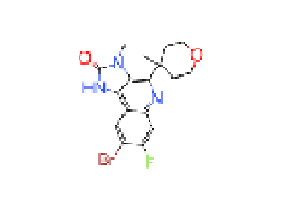 Cn1c(=O)[nH]c2c3cc(Br)c(F)cc3nc(C3(C)CCOCC3)c21